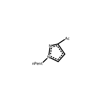 CCCCCn1ccc(C(C)=O)n1